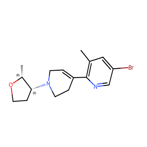 Cc1cc(Br)cnc1C1=CCN([C@@H]2CCO[C@@H]2C)CC1